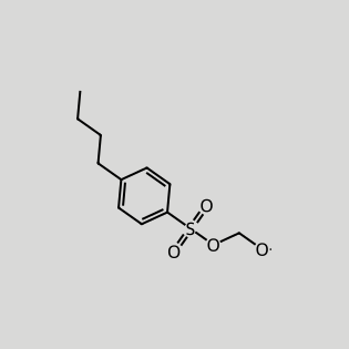 CCCCc1ccc(S(=O)(=O)OC[O])cc1